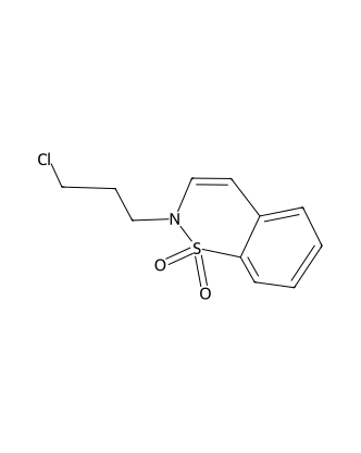 O=S1(=O)c2ccccc2C=CN1CCCCl